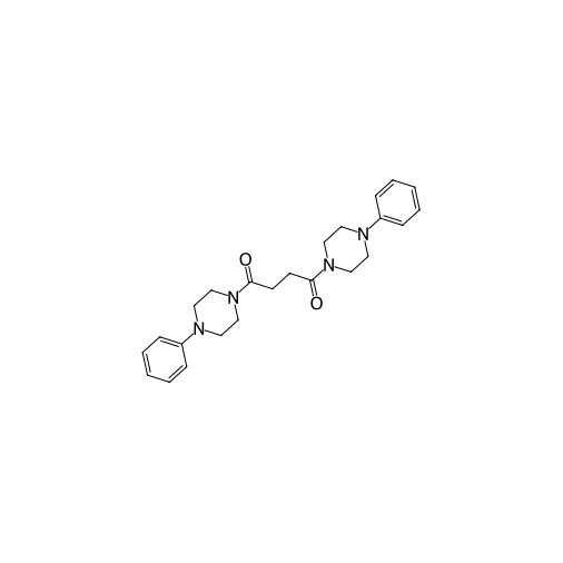 O=C(CCC(=O)N1CCN(c2ccccc2)CC1)N1CCN(c2ccccc2)CC1